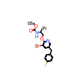 CC(C)C(COc1ncc(Cc2ccc(F)cc2)cc1Br)NC(=O)OC(C)(C)C